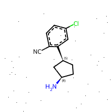 N#Cc1ccc(Cl)cc1[C@H]1CC[C@@H](N)C1